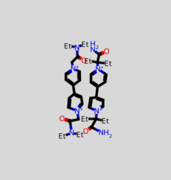 CCC(CC)(C(N)=O)[n+]1ccc(-c2cc[n+](C(CC)(CC)C(N)=O)cc2)cc1.CCN(CC)C(=O)C[n+]1ccc(-c2cc[n+](CC(=O)N(CC)CC)cc2)cc1